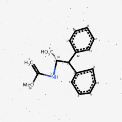 C=C(N[C@H](C(=O)O)C(c1ccccc1)c1ccccc1)OC